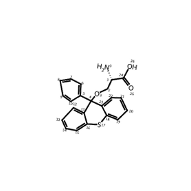 N[C@@H](COC1(c2ccccc2)c2ccccc2Sc2ccccc21)C(=O)O